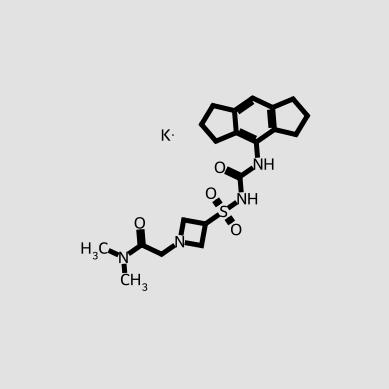 CN(C)C(=O)CN1CC(S(=O)(=O)NC(=O)Nc2c3c(cc4c2CCC4)CCC3)C1.[K]